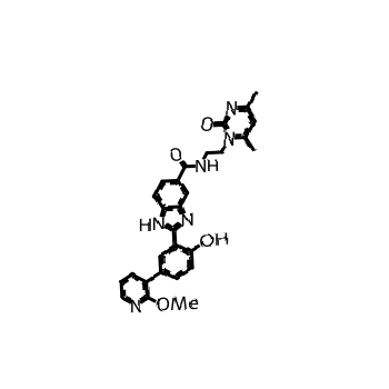 COc1ncccc1-c1ccc(O)c(-c2nc3cc(C(=O)NCCn4c(C)cc(C)nc4=O)ccc3[nH]2)c1